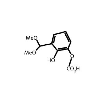 COC(OC)c1cccc(OC(=O)O)c1O